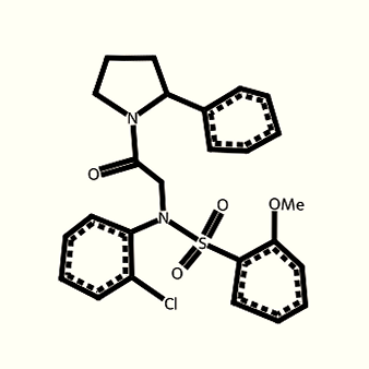 COc1ccccc1S(=O)(=O)N(CC(=O)N1CCCC1c1ccccc1)c1ccccc1Cl